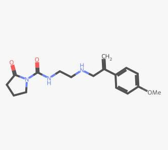 C=C(CNCCNC(=O)N1CCCC1=O)c1ccc(OC)cc1